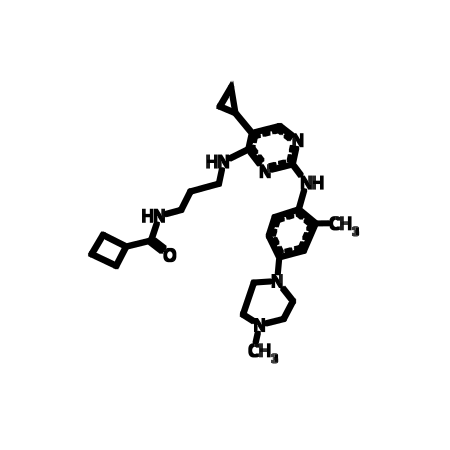 Cc1cc(N2CCN(C)CC2)ccc1Nc1ncc(C2CC2)c(NCCCNC(=O)C2CCC2)n1